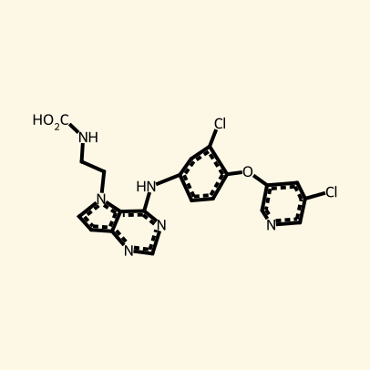 O=C(O)NCCn1ccc2ncnc(Nc3ccc(Oc4cncc(Cl)c4)c(Cl)c3)c21